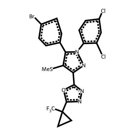 CSc1c(-c2nnc(C3(C(F)(F)F)CC3)o2)nn(-c2ccc(Cl)cc2Cl)c1-c1ccc(Br)cc1